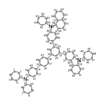 c1ccc(N(c2ccccc2)c2ccc(-c3ccc(-c4cc(-c5ccc6c(c5)c5ccccc5n6-c5ccccc5)cc(-c5ccc6c(c5)c5ccc7ccccc7c5n6-c5ccccc5)c4)cc3)cc2)cc1